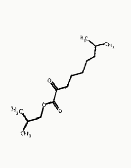 CC(C)CCCCCC(=O)C(=O)OCC(C)C